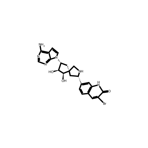 Nc1ncnc2c1ccn2[C@@H]1C[C@@]2(CN[C@H](c3ccc4cc(Br)c(=O)[nH]c4c3)C2)[C@@H](O)[C@H]1O